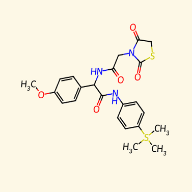 COc1ccc(C(NC(=O)CN2C(=O)CSC2=O)C(=O)Nc2ccc(S(C)(C)C)cc2)cc1